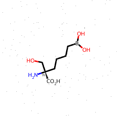 N[C@](CO)(CCCCB(O)O)C(=O)O